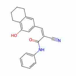 N#CC(=Cc1cc(O)c2c(c1)CCCC2)C(=O)Nc1ccccc1